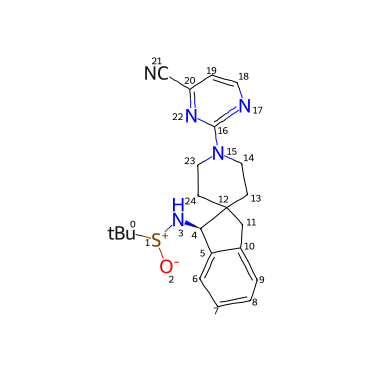 CC(C)(C)[S+]([O-])N[C@@H]1c2ccccc2CC12CCN(c1nccc(C#N)n1)CC2